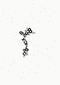 CCc1c(F)ccc2cc(O)cc(-c3ncc4c(N5CC6CCC(C5)N6)nc(OCC5(CN6CCC7(CC6)CN(CCc6cccc8c6cnn8C6CCC(=O)NC6=O)C7)CC5)nc4c3F)c12